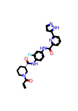 C=CC(=O)N1CCC[C@H](C(=O)Nc2ccc(NC(=O)c3cccc(-c4ccn[nH]4)n3)cc2F)C1